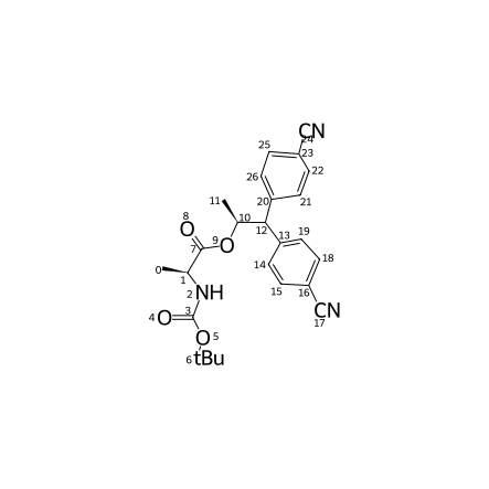 C[C@H](NC(=O)OC(C)(C)C)C(=O)O[C@@H](C)C(c1ccc(C#N)cc1)c1ccc(C#N)cc1